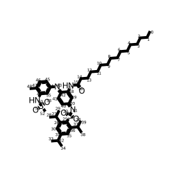 CCCCCCCCCCCCCCCC(=O)NC1=CC(=NS(=O)(=O)c2c(C(C)C)cc(C(C)C)cc2C(C)C)C=CC1=Nc1ccc(C)c(NS(C)(=O)=O)c1